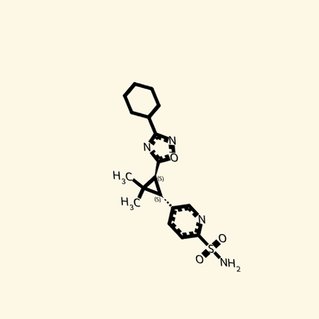 CC1(C)[C@@H](c2ccc(S(N)(=O)=O)nc2)[C@@H]1c1nc(C2CCCCC2)no1